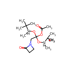 CC(=O)OC(CN1CCC1=O)(O[SiH](C)C(C)(C)C)O[SiH](C)C(C)(C)C